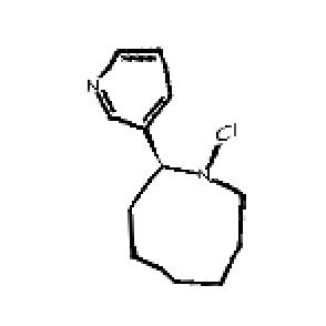 ClN1CCCCCC[C@H]1c1cccnc1